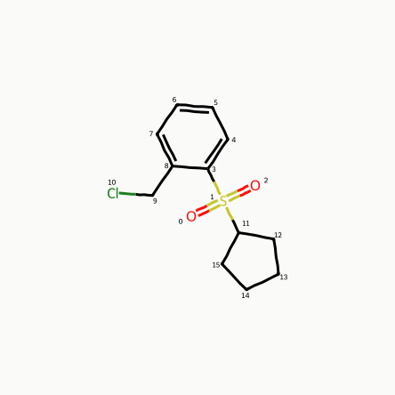 O=S(=O)(c1ccccc1CCl)C1CCCC1